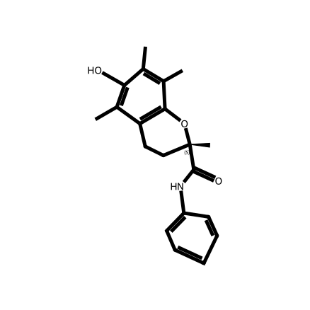 Cc1c(C)c2c(c(C)c1O)CC[C@@](C)(C(=O)Nc1ccccc1)O2